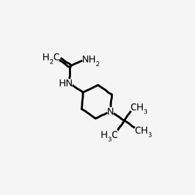 C=C(N)NC1CCN(C(C)(C)C)CC1